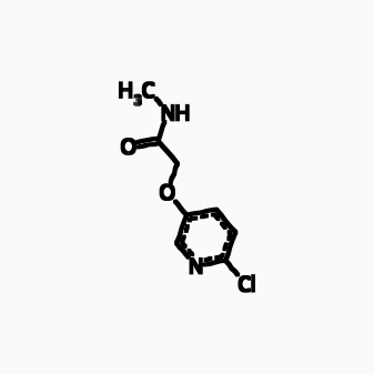 CNC(=O)COc1ccc(Cl)nc1